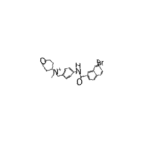 C[N+](C)(Cc1ccc(NC(=O)c2ccc3ccc(Br)cc3c2)cc1)C1CCOCC1